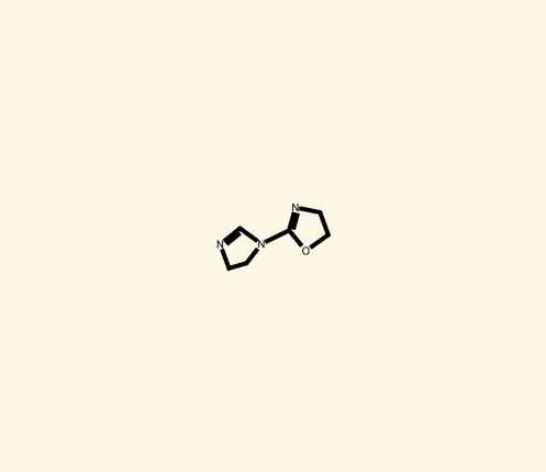 C1=NCCN1C1=NCCO1